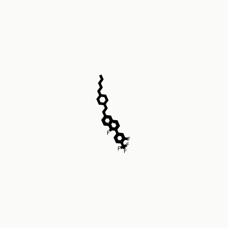 CCCCCC1CCC(CCc2ccc3c(F)c(-c4ccc(C(F)(F)F)c(F)c4)ccc3c2)CC1